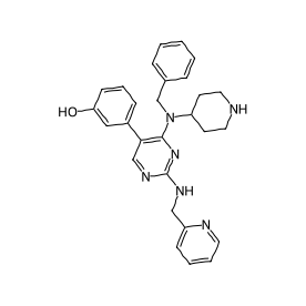 Oc1cccc(-c2cnc(NCc3ccccn3)nc2N(Cc2ccccc2)C2CCNCC2)c1